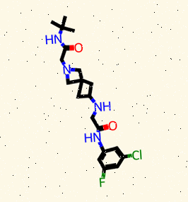 CC(C)(C)NC(=O)CN1CC2(CC(NCC(=O)Nc3cc(F)cc(Cl)c3)C2)C1